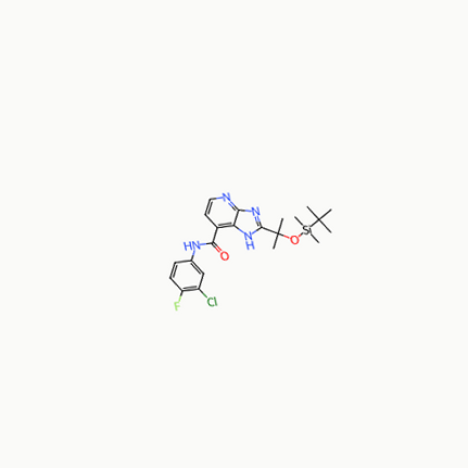 CC(C)(O[Si](C)(C)C(C)(C)C)c1nc2nccc(C(=O)Nc3ccc(F)c(Cl)c3)c2[nH]1